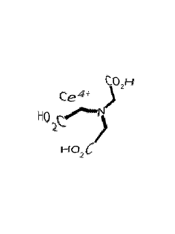 O=C(O)CN(CC(=O)O)CC(=O)O.[Ce+4]